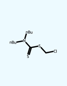 CCCCN(CCCC)C(=S)SCCl